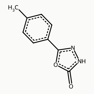 Cc1ccc(-c2n[nH]c(=O)o2)cc1